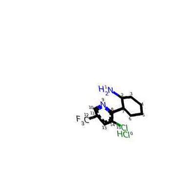 Cl.NC1CCCCC1c1ncc(C(F)(F)F)cc1Cl